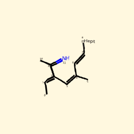 C\C=C(/C=C(C)\C=C\CCCCCCC)C(C)=N